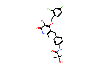 Cc1[nH]c(=O)c(Br)c(OCc2ccc(F)cc2F)c1Cc1ccc(NC(=O)C(C)(C)O)cc1